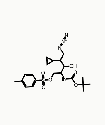 Cc1ccc(S(=O)(=O)OCC(NC(=O)OC(C)(C)C)C(O)C(CN=[N+]=[N-])C2CC2)cc1